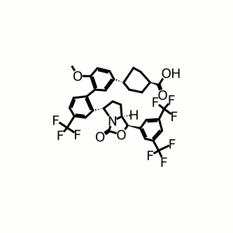 COc1ccc([C@H]2CC[C@H](C(=O)O)CC2)cc1-c1ccc(C(F)(F)F)cc1[C@@H]1CC[C@H]2[C@@H](c3cc(C(F)(F)F)cc(C(F)(F)F)c3)OC(=O)N12